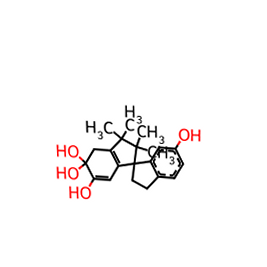 CC1(C)C2=C(C=C(O)C(O)(O)C2)C2(CCc3ccc(O)cc32)C1(C)C